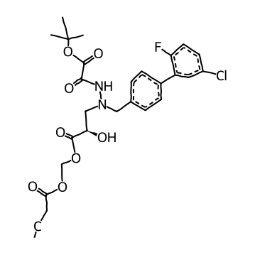 CCCC(=O)OCOC(=O)[C@H](O)CN(Cc1ccc(-c2cc(Cl)ccc2F)cc1)NC(=O)C(=O)OC(C)(C)C